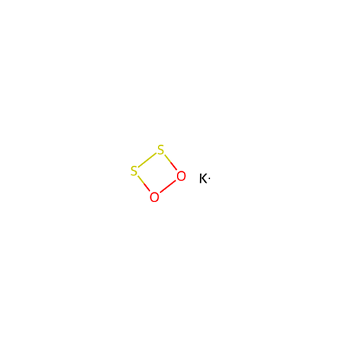 O1OSS1.[K]